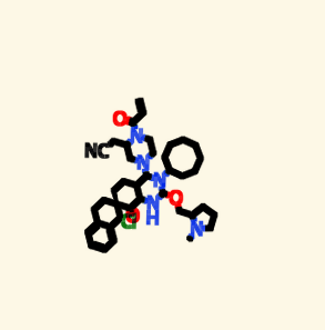 C=CC(=O)N1CCN(C2C3CC[C@@]4(CCc5ccccc5C4Cl)C(=O)C3NC(OCC3CCCN3C)N2C2CCCCCCC2)CC1CC#N